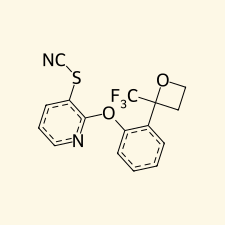 N#CSc1cccnc1Oc1ccccc1C1(C(F)(F)F)CCO1